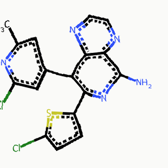 Cc1cc(-c2c(-c3ccc(Cl)s3)nc(N)c3nccnc23)cc(Cl)n1